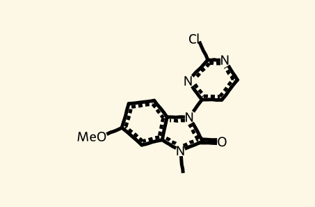 COc1ccc2c(c1)n(C)c(=O)n2-c1ccnc(Cl)n1